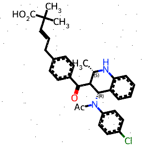 CC(=O)N(c1ccc(Cl)cc1)[C@H]1c2ccccc2N[C@@H](C)C1C(=O)c1ccc(CC=CC(C)(C)C(=O)O)cc1